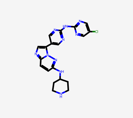 Clc1cnc(Nc2ncc(-c3cnc4ccc(NC5CCNCC5)nn34)cn2)nc1